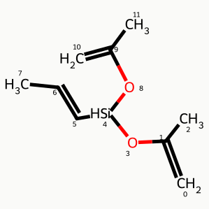 C=C(C)O[SiH](C=CC)OC(=C)C